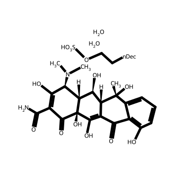 CCCCCCCCCCCCOS(=O)(=O)O.CN(C)[C@@H]1C(O)=C(C(N)=O)C(=O)[C@@]2(O)C(O)=C3C(=O)c4c(O)cccc4[C@@](C)(O)[C@H]3[C@H](O)[C@@H]12.O.O